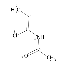 CCC(Cl)NC(C)=O